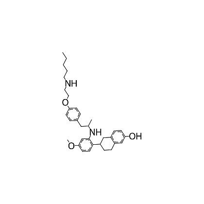 CCCCCNCCOc1ccc(CC(C)Nc2cc(OC)ccc2C2CCc3cc(O)ccc3C2)cc1